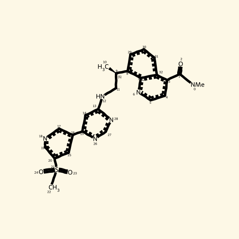 CNC(=O)c1ccnc2c([C@H](C)CNc3cc(-c4cncc(S(C)(=O)=O)c4)ncn3)cccc12